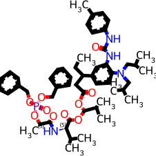 CCC(CC(=O)OC(OC(=O)[C@@H](NC(=O)[C@H](C)OP(=O)(OCc1ccccc1)OCc1ccccc1)C(C)C)C(C)C)c1ccc(N(CC(C)C)CC(C)C)c(NC(=O)Nc2ccc(C)cc2)c1